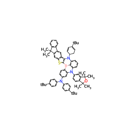 CC(C)(C)C1=CCC(N2c3cccc4c3B(c3ccc(N(c5ccc(C(C)(C)C)cc5)c5ccc(C(C)(C)C)cc5)cc3N4c3ccc4c(c3)C(C)(C)OC4(C)C)c3sc4cc5c(cc4c32)-c2ccccc2C5(C)C)C=C1